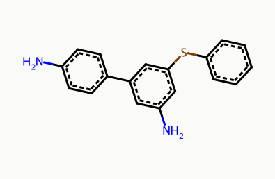 Nc1ccc(-c2cc(N)cc(Sc3ccccc3)c2)cc1